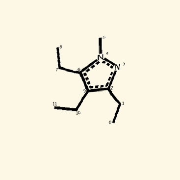 CCc1nn(C)c(CC)c1CC